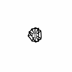 [CH]12[CH]3[CH]4[CH]5[CH]1[Ti]23451678[CH]2[CH]1[CH]6[CH]7[CH]28